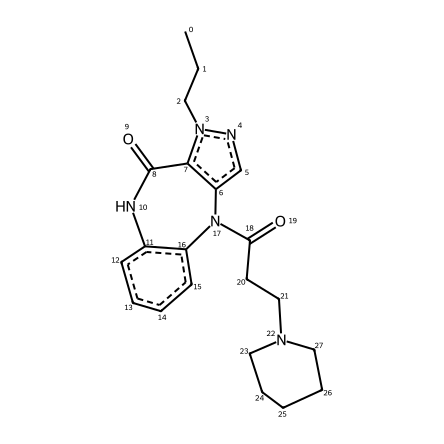 CCCn1ncc2c1C(=O)Nc1ccccc1N2C(=O)CCN1CCCCC1